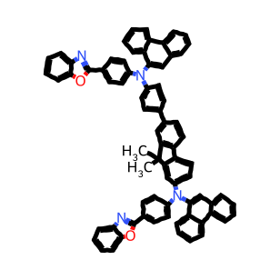 CC1(C)c2cc(-c3ccc(N(c4ccc(-c5nc6ccccc6o5)cc4)c4cc5ccccc5c5ccccc45)cc3)ccc2-c2ccc(N(c3ccc(-c4nc5ccccc5o4)cc3)c3cc4ccccc4c4ccccc34)cc21